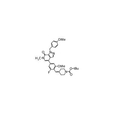 COc1ccc(Cn2ncc3c(-c4cc(F)c(C=C5CCN(C(=O)OC(C)(C)C)CC5)c(OC)c4)cn(C)c(=O)c32)cc1